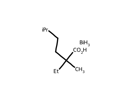 CCC(C)(CCC(C)C)C(=O)O.[BiH3]